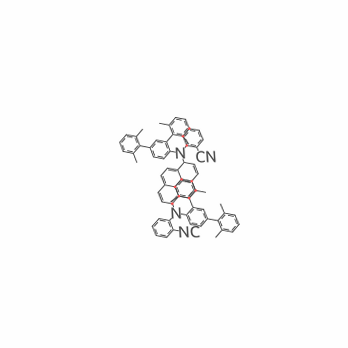 [C-]#[N+]c1ccccc1N(C1=C2C=CC3=C4C(=CC=C(C=C1)C24)C(N(c1ccccc1C#N)c1ccc(-c2c(C)cccc2C)cc1-c1c(C)cccc1C)C=C3)c1ccc(-c2c(C)cccc2C)cc1-c1c(C)cccc1C